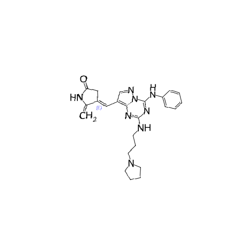 C=C1NC(=O)C/C1=C\c1cnn2c(Nc3ccccc3)nc(NCCCN3CCCC3)nc12